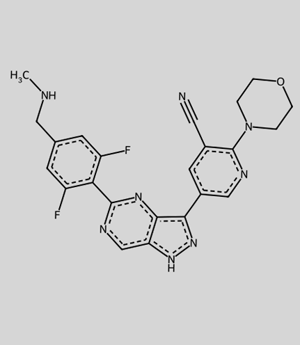 CNCc1cc(F)c(-c2ncc3[nH]nc(-c4cnc(N5CCOCC5)c(C#N)c4)c3n2)c(F)c1